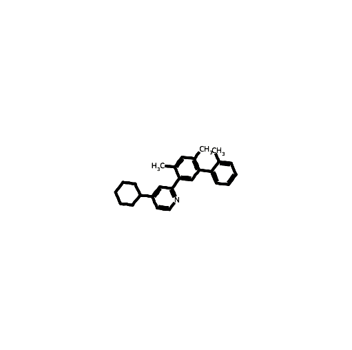 Cc1cc(C)c(-c2ccccc2C)cc1-c1cc(C2CCCCC2)ccn1